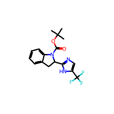 CC(C)(C)OC(=O)N1c2ccccc2CC1c1ncc(C(F)(F)F)[nH]1